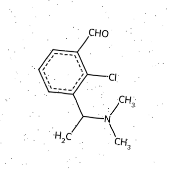 [CH2]C(c1cccc(C=O)c1Cl)N(C)C